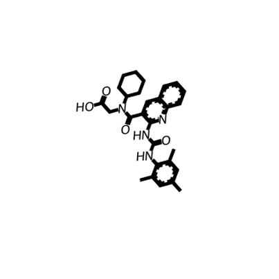 Cc1cc(C)c(NC(=O)Nc2nc3ccccc3cc2C(=O)N(CC(=O)O)C2CCCCC2)c(C)c1